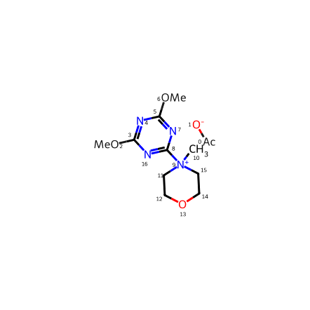 CC(=O)[O-].COc1nc(OC)nc([N+]2(C)CCOCC2)n1